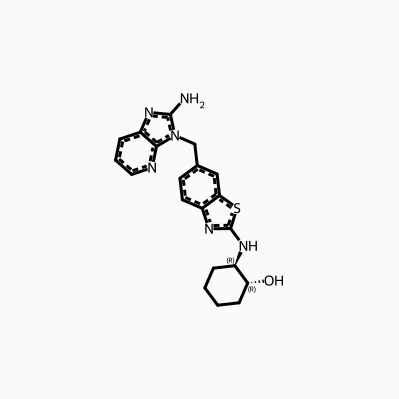 Nc1nc2cccnc2n1Cc1ccc2nc(N[C@@H]3CCCC[C@H]3O)sc2c1